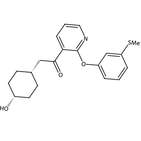 CSc1cccc(Oc2ncccc2C(=O)C[C@H]2CC[C@@H](O)CC2)c1